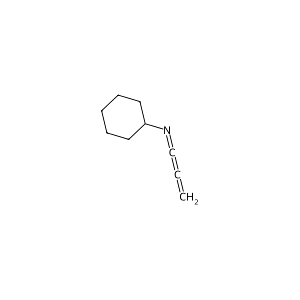 C=C=C=NC1CCCCC1